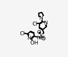 O=S(=O)(Cc1cnc(N2CCCC2)c(Cl)c1)Nc1ccc(Cl)nc1O